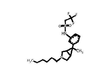 CCCCCCN1CC2C(C1)C2(C)c1cccc(NS(=O)(=O)CC(F)(F)F)c1